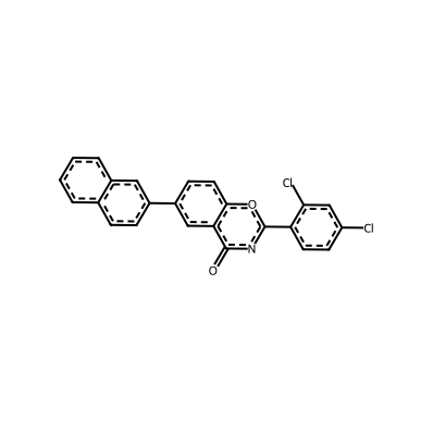 O=c1nc(-c2ccc(Cl)cc2Cl)oc2ccc(-c3ccc4ccccc4c3)cc12